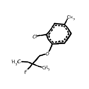 Cc1ccc(OCC(C)(C)F)c(Cl)c1